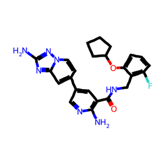 Nc1nc2cc(-c3cnc(N)c(C(=O)NCc4c(F)cccc4OC4CCCC4)c3)ccn2n1